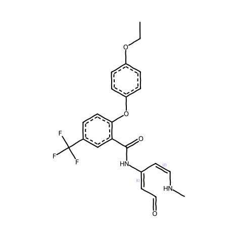 CCOc1ccc(Oc2ccc(C(F)(F)F)cc2C(=O)NC(/C=C\NC)=C/C=O)cc1